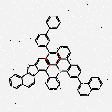 c1ccc(-c2cccc(-c3ccc(N(c4cc(-c5cccc6ccccc56)ccc4-c4ccccc4)c4ccccc4-c4cccc5oc6c7ccccc7ccc6c45)cc3)c2)cc1